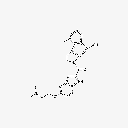 Cc1cccc2c(O)cc3c(c12)CCN3C(=O)c1cc2cc(OCCN(C)C)ccc2[nH]1